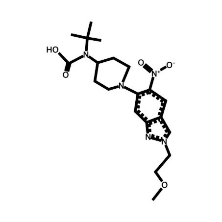 COCCn1cc2cc([N+](=O)[O-])c(N3CCC(N(C(=O)O)C(C)(C)C)CC3)cc2n1